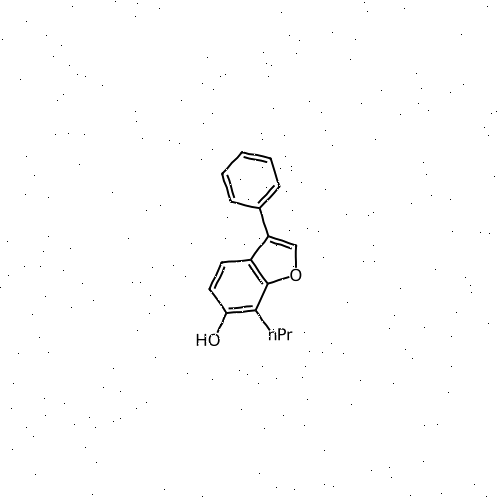 CCCc1c(O)ccc2c(-c3ccccc3)coc12